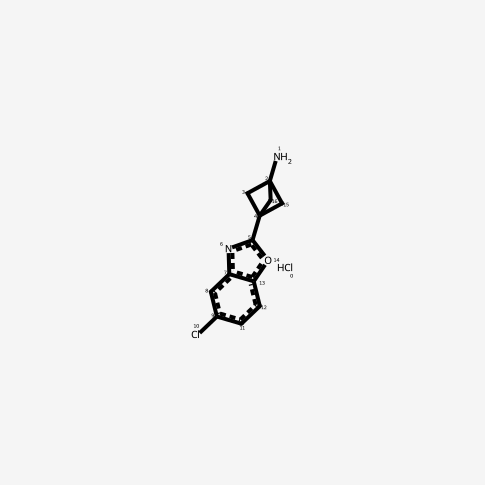 Cl.NC12CC(c3nc4cc(Cl)ccc4o3)(C1)C2